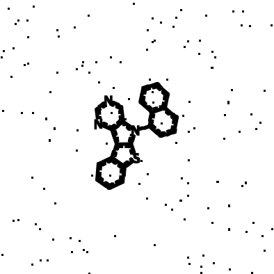 c1ccc2c(-n3c4cncnc4c4c5ccccc5sc43)cccc2c1